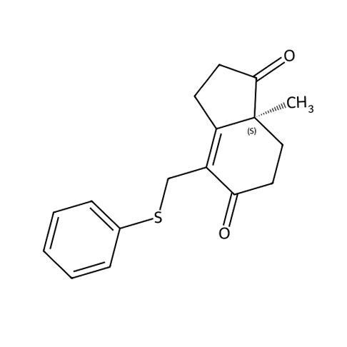 C[C@]12CCC(=O)C(CSc3ccccc3)=C1CCC2=O